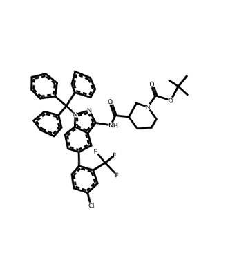 CC(C)(C)OC(=O)N1CCCC(C(=O)Nc2nn(C(c3ccccc3)(c3ccccc3)c3ccccc3)c3ccc(-c4ccc(Cl)cc4C(F)(F)F)cc23)C1